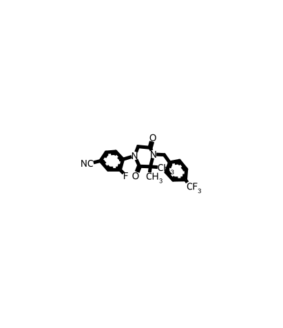 CC1(C)C(=O)N(c2ccc(C#N)cc2F)CC(=O)N1Cc1ccc(C(F)(F)F)cc1